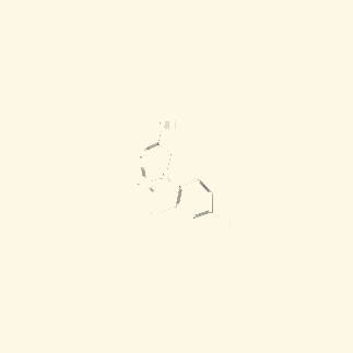 CS(=O)(=O)N(CC(N)=O)c1ccc(C(F)(F)F)cc1Cl